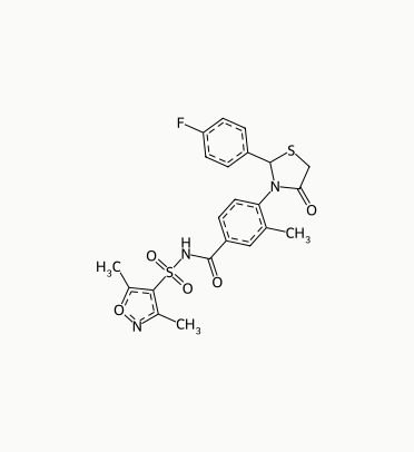 Cc1cc(C(=O)NS(=O)(=O)c2c(C)noc2C)ccc1N1C(=O)CSC1c1ccc(F)cc1